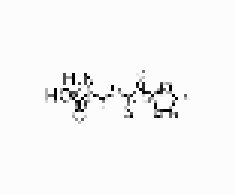 CN(C(=S)SCC(N)C(=O)O)C1CCCO1